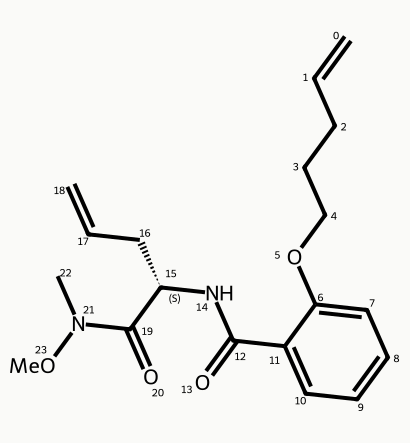 C=CCCCOc1ccccc1C(=O)N[C@@H](CC=C)C(=O)N(C)OC